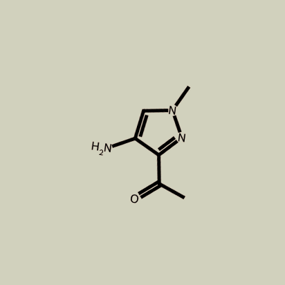 CC(=O)c1nn(C)cc1N